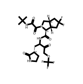 CC(C)(C)NC(=O)C(=O)N1C[C@@H]2CC(F)(F)C[C@@H]2[C@H]1C(=O)NC(C[C@@H]1CCNC1=O)C(=O)COC(F)(F)F